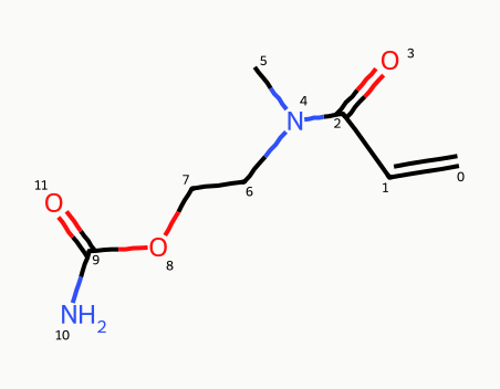 C=CC(=O)N(C)CCOC(N)=O